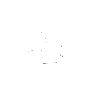 [2H]c1c([2H])c(Br)c([2H])c([2H])c1N